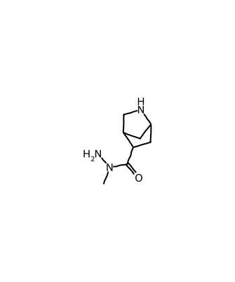 CN(N)C(=O)C1CC2CC1CN2